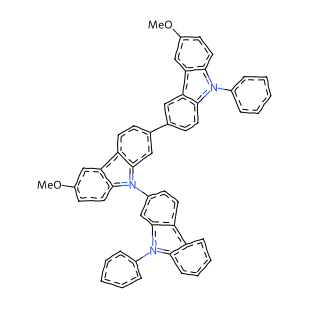 COc1ccc2c(c1)c1cc(-c3ccc4c5cc(OC)ccc5n(-c5ccc6c7ccccc7n(-c7ccccc7)c6c5)c4c3)ccc1n2-c1ccccc1